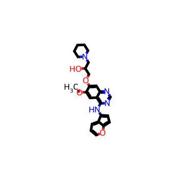 COc1cc2c(Nc3ccc4occcc3-4)ncnc2cc1OCC(O)CN1CCCCC1